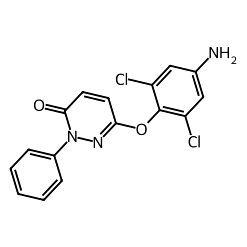 Nc1cc(Cl)c(Oc2ccc(=O)n(-c3ccccc3)n2)c(Cl)c1